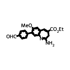 CCOC(=O)C1=Cc2cc(OC)c(-c3ccc(C=O)cc3)cc2N=C(N)C1